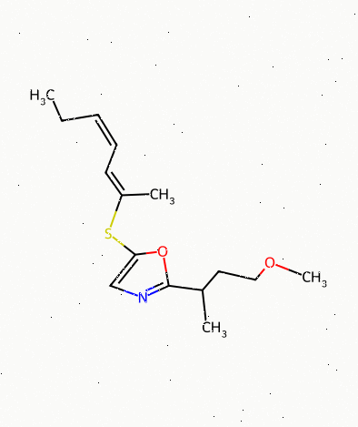 CC/C=C\C=C(/C)Sc1cnc(C(C)CCOC)o1